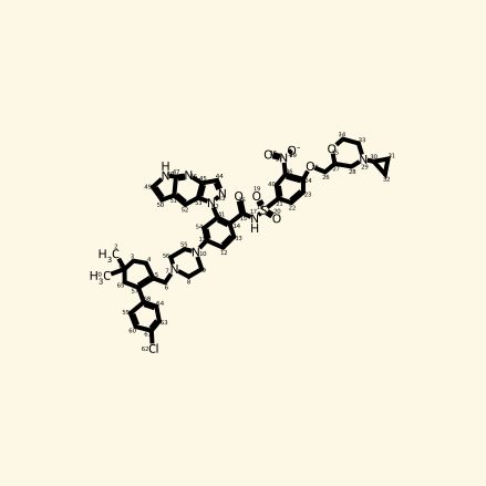 CC1(C)CCC(CN2CCN(c3ccc(C(=O)NS(=O)(=O)c4ccc(OCC5CN(C6CC6)CCO5)c([N+](=O)[O-])c4)c(-n4ncc5nc6[nH]ccc6cc54)c3)CC2)=C(c2ccc(Cl)cc2)C1